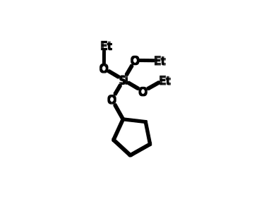 CCO[Si](OCC)(OCC)OC1CCCC1